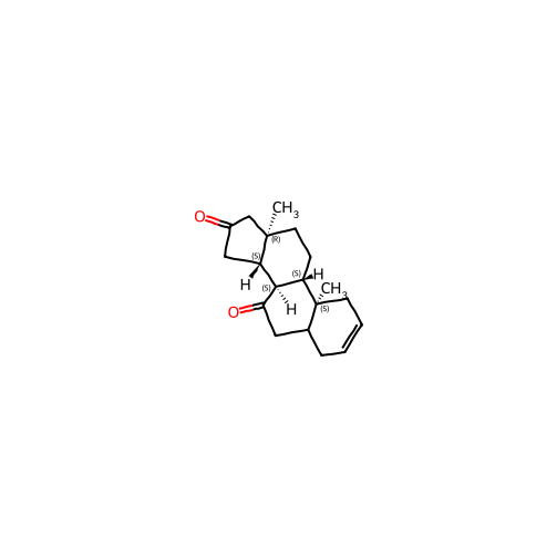 C[C@]12CC[C@H]3[C@@H](C(=O)CC4CC=CC[C@@]43C)[C@@H]1CC(=O)C2